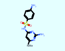 CNc1cc(NS(=O)(=O)c2ccc(N)cc2)nc(N)n1